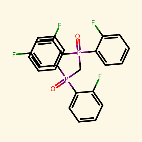 O=P(CP(=O)(c1ccccc1F)c1ccccc1F)(c1cccc(F)c1)c1ccccc1F